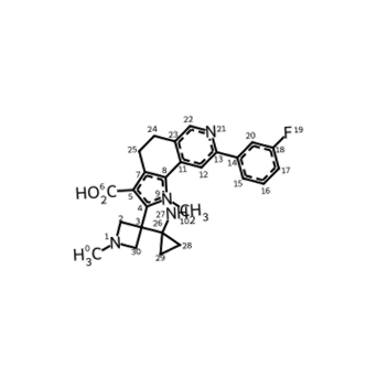 CN1CC(c2c(C(=O)O)c3c(n2C)-c2cc(-c4cccc(F)c4)ncc2CC3)(C2(N)CC2)C1